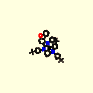 CC(C)(C)c1ccc(N2c3ccc(C(C)(C)C)cc3B3c4c2cccc4N(c2ccc(C(C)(C)C)cc2)c2c4c(n(-c5ccccc5)c23)C2c3ccccc3OC2C=C4)cc1